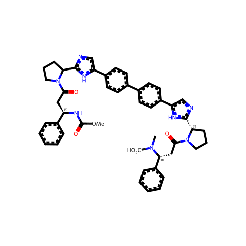 COC(=O)N[C@H](CC(=O)N1CCCC1c1ncc(-c2ccc(-c3ccc(-c4cnc([C@@H]5CCCN5C(=O)C[C@H](c5ccccc5)N(C)C(=O)O)[nH]4)cc3)cc2)[nH]1)c1ccccc1